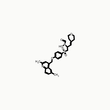 Cc1ccc2nc(C)cc(COc3ccc(S(=O)(=O)CC(C=C4CCOCC4)N(O)C=O)cc3)c2c1